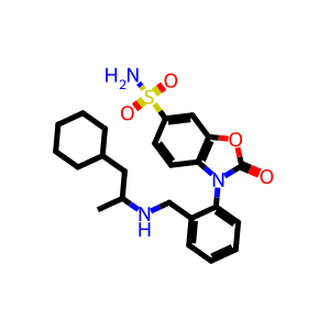 CC(CC1CCCCC1)NCc1ccccc1-n1c(=O)oc2cc(S(N)(=O)=O)ccc21